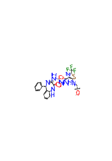 COC(C)(C)CNc1sc(C(F)(F)F)nc1-c1nnc(N[C@H]2N=C(c3ccccc3)c3ccccc3NC2=O)o1